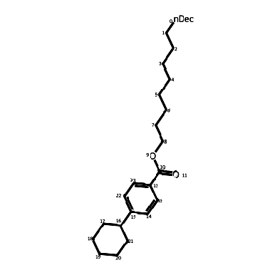 CCCCCCCCCCCCCCCCCCOC(=O)c1ccc(C2CCCCC2)cc1